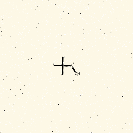 CC(C)(C)SO